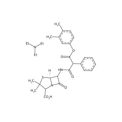 CCN(CC)CC.Cc1ccc(OC(=O)C(C(=O)NC2C(=O)N3C(C(=O)O)C(C)(C)S[C@@H]23)c2ccccc2)cc1C